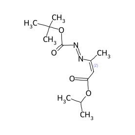 C/C(=C/C(=O)OC(C)C)N=NC(=O)OC(C)(C)C